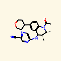 CC(=O)N1c2ccc(C3CCOCC3)cc2C(Nc2cnc(C#N)cn2)[C@@H](C)[C@@H]1C